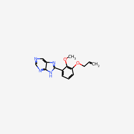 C=CCOc1cccc(-c2nc3cncnc3[nH]2)c1OC